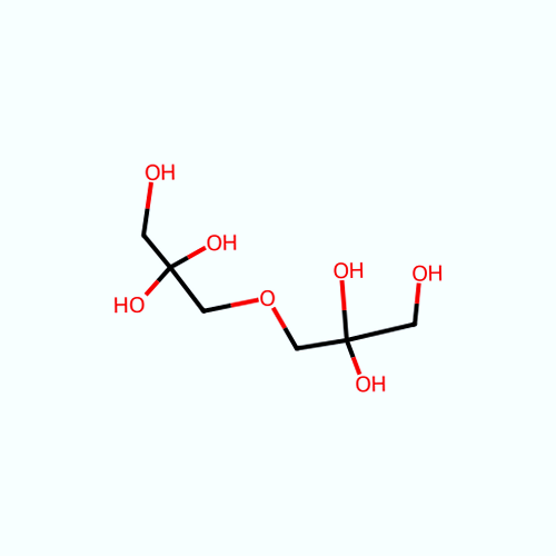 OCC(O)(O)COCC(O)(O)CO